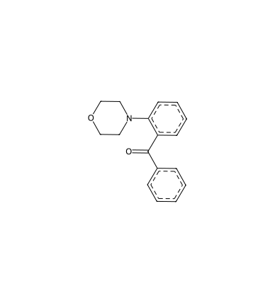 O=C(c1ccccc1)c1ccccc1N1CCOCC1